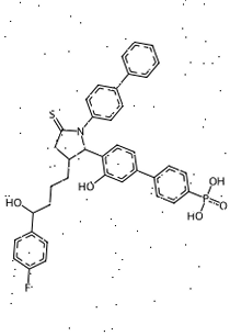 O=P(O)(O)c1ccc(-c2ccc(C3C(CCCC(O)c4ccc(F)cc4)CC(=S)N3c3ccc(-c4ccccc4)cc3)c(O)c2)cc1